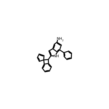 Nc1cc(-c2ccccc2)c2[nH]c(C3c4ccccc4C34C=CC=C4)cc2c1